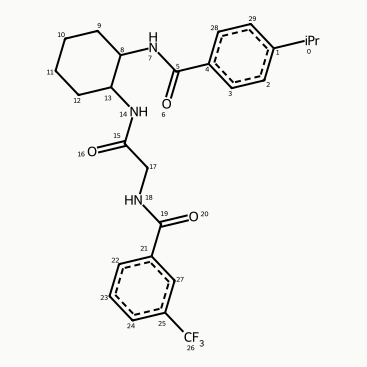 CC(C)c1ccc(C(=O)NC2CCCCC2NC(=O)CNC(=O)c2cccc(C(F)(F)F)c2)cc1